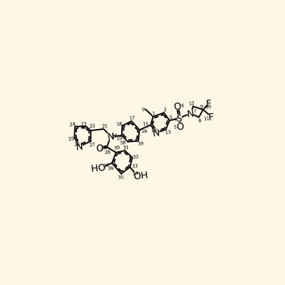 Cc1cc(S(=O)(=O)N2CC(F)(F)C2)cnc1-c1ccc(N(Cc2cccnc2)C(=O)c2ccc(O)cc2O)cc1